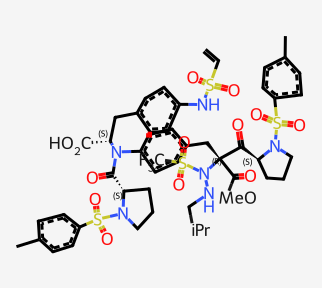 C=CS(=O)(=O)Nc1ccc(C[C@@H](C(=O)O)N(C(=O)[C@@H]2CCCN2S(=O)(=O)c2ccc(C)cc2)c2ccc(C[C@](C(=O)OC)(C(=O)[C@@H]3CCCN3S(=O)(=O)c3ccc(C)cc3)N(NCC(C)C)S(=O)(=O)C(F)(F)F)cc2)cc1